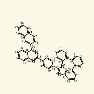 c1ccc2c(c1)-c1ccccc1-n1c(-c3ccc(-c4nc(-c5ccc6ccccc6c5)c5ccccc5n4)cc3)nc3cccc-2c31